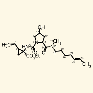 C=CC1C[C@]1(NC(=O)N1CC(O)CC1C(=O)N(C)CCCCC=CC)C(=O)OCC